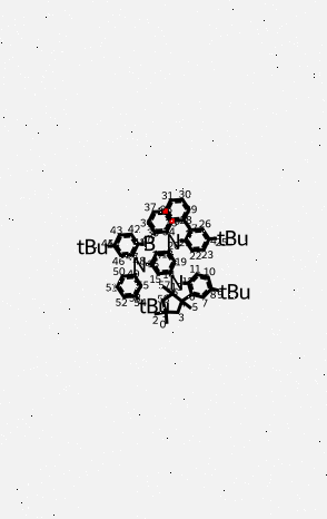 CC1(C)CC2(C)c3cc(C(C)(C)C)ccc3N(c3cc4c5c(c3)N(c3ccc(C(C)(C)C)cc3-c3ccccc3)c3ccccc3B5c3ccc(C(C)(C)C)cc3N4c3cccc(C(C)(C)C)c3)C2(C)C1